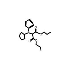 CCCOC(=O)C(C(=O)OCCC)N(c1ccccc1)C1CCCC1